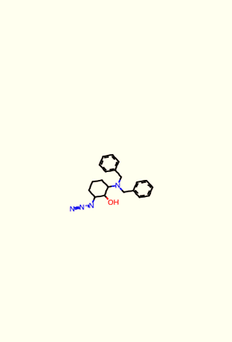 [N-]=[N+]=NC1CCCC(N(Cc2ccccc2)Cc2ccccc2)C1O